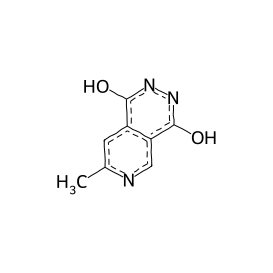 Cc1cc2c(O)nnc(O)c2cn1